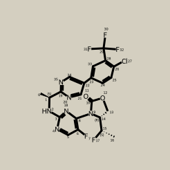 C[C@H](Nc1ncc(F)c(N2C(=O)OC[C@@H]2[C@H](C)F)n1)c1ncc(-c2ccc(Cl)c(C(F)(F)F)c2)cn1